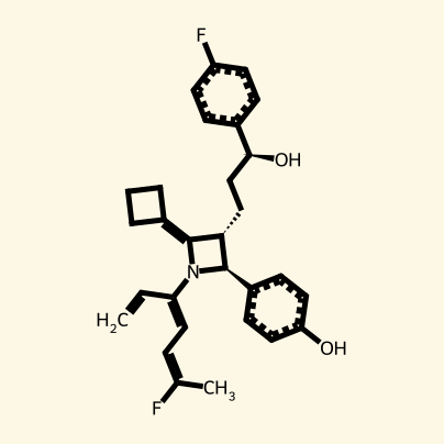 C=C/C(=C\C=C(/C)F)N1C(=C2CCC2)[C@H](CC[C@H](O)c2ccc(F)cc2)[C@H]1c1ccc(O)cc1